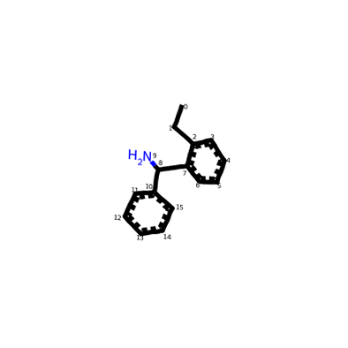 CCc1ccccc1C(N)c1ccccc1